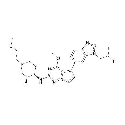 COCCN1CC[C@@H](Nc2nc(OC)c3c(-c4ccc5nnn(CC(F)F)c5c4)ccn3n2)[C@@H](F)C1